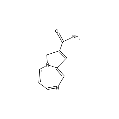 NC(=O)C1=CC2=CN=CC=CN2C1